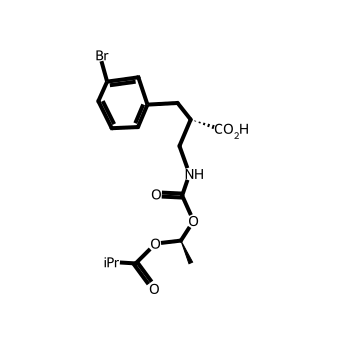 CC(C)C(=O)O[C@H](C)OC(=O)NC[C@H](Cc1cccc(Br)c1)C(=O)O